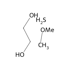 COC.OCCO.S